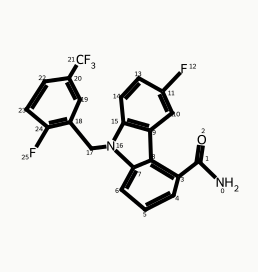 NC(=O)c1cccc2c1c1[c]c(F)ccc1n2Cc1cc(C(F)(F)F)ccc1F